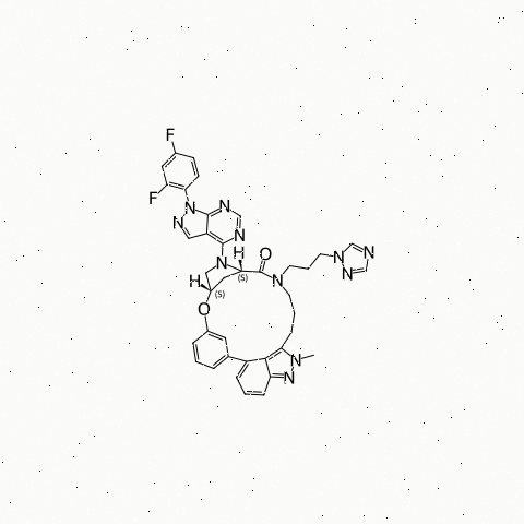 Cn1nc2cccc3c2c1CCCN(CCCn1cncn1)C(=O)[C@@H]1C[C@@H](CN1c1ncnc2c1cnn2-c1ccc(F)cc1F)Oc1cccc-3c1